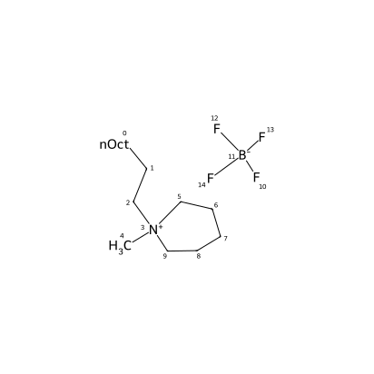 CCCCCCCCCC[N+]1(C)CCCCC1.F[B-](F)(F)F